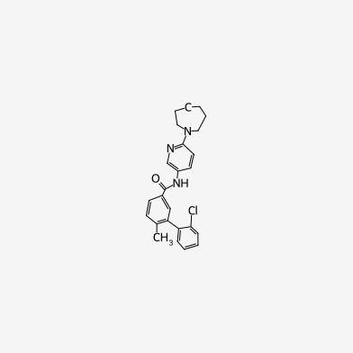 Cc1ccc(C(=O)Nc2ccc(N3CCCCCC3)nc2)cc1-c1ccccc1Cl